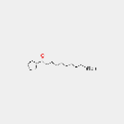 CCCCCCCCCCCCCCCCCC(=O)C1CCCC1